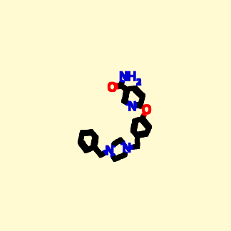 NC(=O)c1ccc(Oc2ccc(CN3CCN(Cc4ccccc4)CC3)cc2)nc1